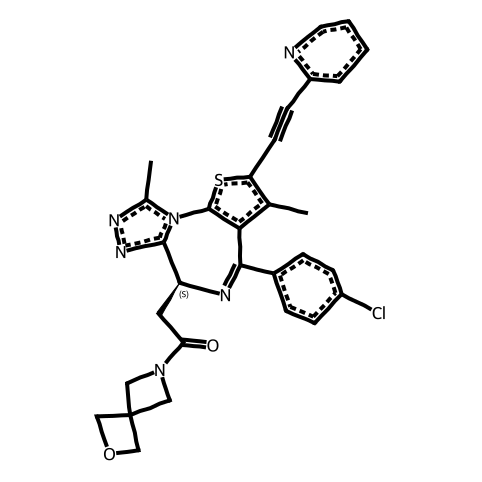 Cc1c(C#Cc2ccccn2)sc2c1C(c1ccc(Cl)cc1)=N[C@@H](CC(=O)N1CC3(COC3)C1)c1nnc(C)n1-2